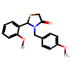 CCOc1ccccc1C1SCC(=O)N1Cc1ccc(OC(F)(F)F)cc1